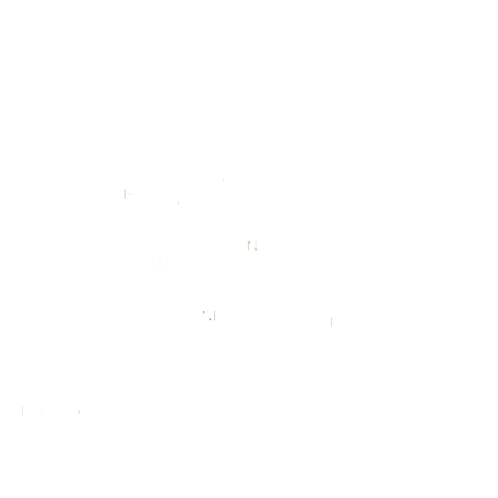 COC(=O)[C@H]1[C@@H](NCc2ccc(OC)cc2)C[C@@H](CO[Si](c2ccccc2)(c2ccccc2)C(C)(C)C)N1C(=O)OCc1ccccc1